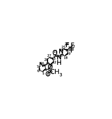 CS(=O)(=O)c1cccnc1-c1ccc(C(=O)Nc2ccc(C(F)(F)F)cn2)cc1